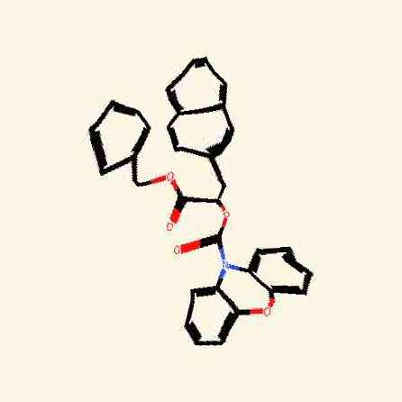 O=C(OCc1ccccc1)[C@@H](Cc1ccc2ccccc2c1)OC(=O)N1c2ccccc2Oc2ccccc21